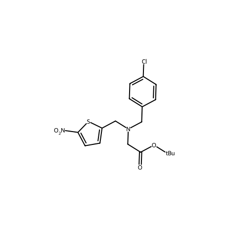 CC(C)(C)OC(=O)CN(Cc1ccc(Cl)cc1)Cc1ccc([N+](=O)[O-])s1